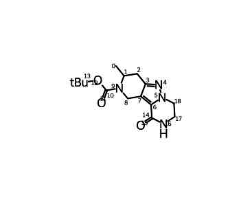 CC1Cc2nn3c(c2CN1C(=O)OC(C)(C)C)C(=O)NCC3